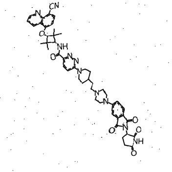 CC1(C)[C@H](NC(=O)c2ccc(N3CCC(CCN4CCN(c5ccc6c(c5)C(=O)N(C5CCC(=O)NC5=O)C6=O)CC4)CC3)nn2)C(C)(C)[C@H]1Oc1ccc(C#N)c2ncccc12